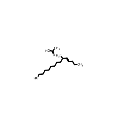 CC(=O)O.CCCC=CC(C)CCCCCCCCO